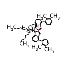 CCCCC[Si](CCCCC)=[Hf]([CH3])([CH3])([CH]1C=Cc2c(-c3cccc(C)c3C)cccc21)[CH]1C=Cc2c(-c3cccc(C)c3C)cccc21